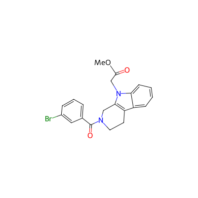 COC(=O)Cn1c2c(c3ccccc31)CCN(C(=O)c1cccc(Br)c1)C2